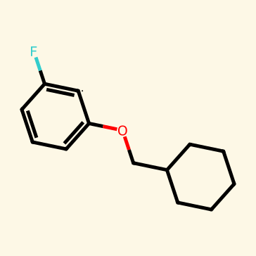 Fc1[c]c(OCC2CCCCC2)ccc1